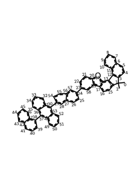 CC1(C)c2ccc3ccccc3c2-c2c1ccc1c2oc2ccc(-c3ccc4cc(-c5c6ccccc6c(-c6cccc7ccccc67)c6ccccc56)ccc4c3)cc21